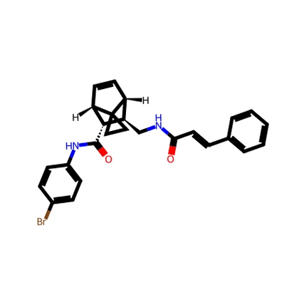 O=C(C=Cc1ccccc1)NC[C@H]1[C@H](C(=O)Nc2ccc(Br)cc2)[C@@H]2C=C[C@H]1C21CC1